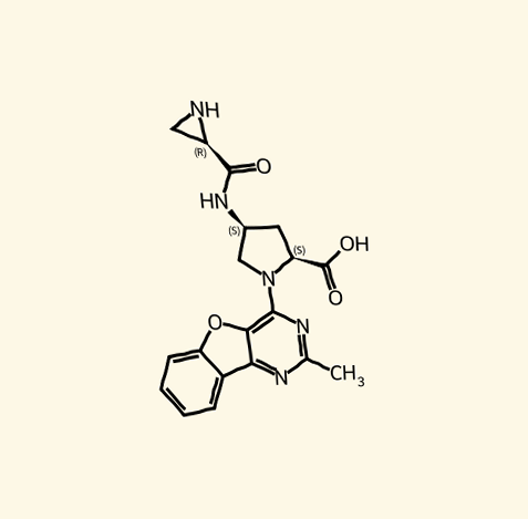 Cc1nc(N2C[C@@H](NC(=O)[C@H]3CN3)C[C@H]2C(=O)O)c2oc3ccccc3c2n1